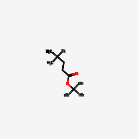 CCCC(CCC)(CCC)OC(=O)CCC(C)(C)CC